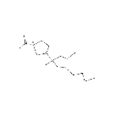 CCCCCCC(C)(CCC)N1CC[C@@H](N(C)C)C1